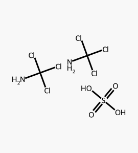 NC(Cl)(Cl)Cl.NC(Cl)(Cl)Cl.O=S(=O)(O)O